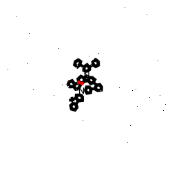 CC1(C)c2ccccc2-c2ccc(N(c3ccc(-c4ccccc4-c4ccc5c(c4)c4ccccc4n5-c4cc(-c5ccccc5)cc(-c5ccccc5)c4)cc3)c3ccc4ccccc4c3)cc21